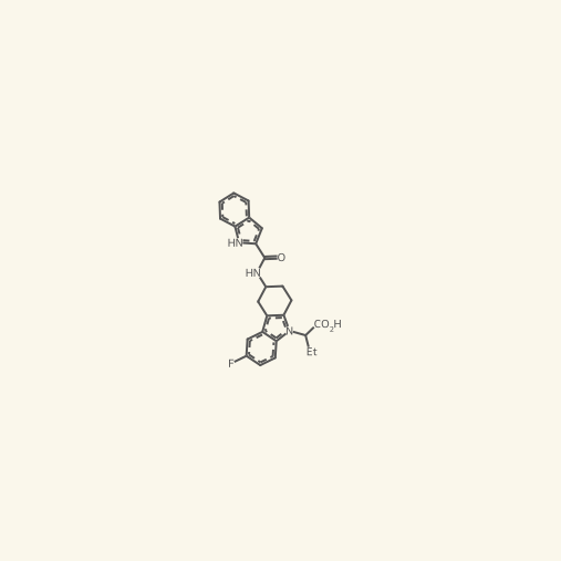 CCC(C(=O)O)n1c2c(c3cc(F)ccc31)CC(NC(=O)c1cc3ccccc3[nH]1)CC2